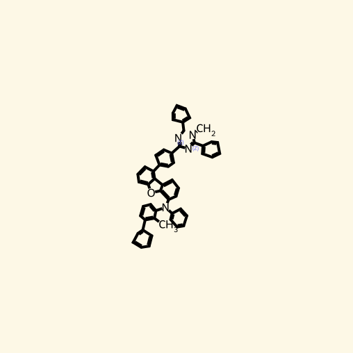 C=N/C(=N\C(=N/Cc1ccccc1)c1ccc(-c2cccc3oc4c(N(c5ccccc5)c5cccc(-c6ccccc6)c5C)cccc4c23)cc1)c1ccccc1